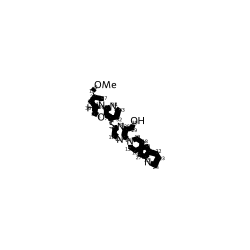 COC[C@H]1C[C@H]2COc3c(Sc4cnc(N5CCC6(CC5)Cc5cccnc5C6)c(CO)n4)ccnc3N2C1